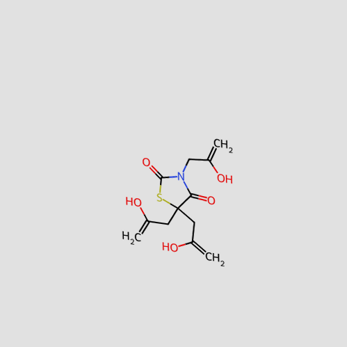 C=C(O)CN1C(=O)SC(CC(=C)O)(CC(=C)O)C1=O